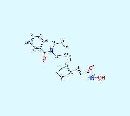 O=C(C=Cc1ccccc1O[C@H]1CCCN(C(=O)c2cccnc2)C1)NO